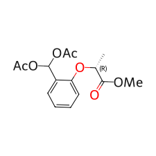 COC(=O)[C@@H](C)Oc1ccccc1C(OC(C)=O)OC(C)=O